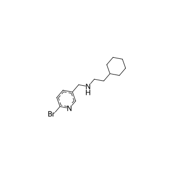 Brc1ccc(CNCCC2CCCCC2)cn1